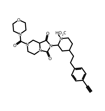 C#Cc1ccc(CCC2CCN(C(=O)O)C(N3C(=O)C4CN(C(=O)N5CCOCC5)CCN4C3=O)C2)cc1